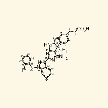 C[C@@]1(c2ccc(CCC(=O)O)cc2)C(=O)Nc2nc(-c3nn(Cc4ccccc4F)c4ncccc34)nc(N)c21